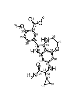 COC(=O)c1cc(-c2[nH]c3cc(N[C@H](C(N)=O)C4CC4)cc4c3c2NCCO4)ccc1OC